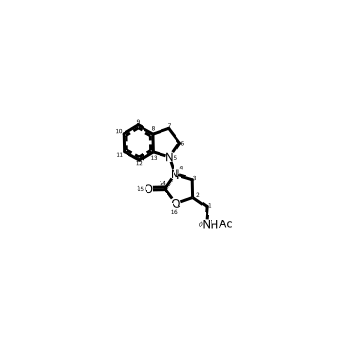 CC(=O)NCC1CN(N2CCc3ccccc32)C(=O)O1